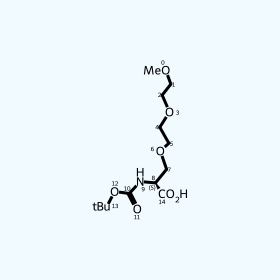 COCCOCCOC[C@H](NC(=O)OC(C)(C)C)C(=O)O